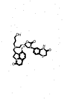 O=C1CSc2ccc(N3C[C@H](CCN(CCCO)CC4Cn5c(=O)ccc6ccc(F)c4c65)OC3=O)cc2N1